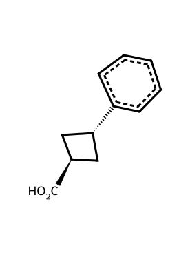 O=C(O)[C@H]1C[C@H](c2ccccc2)C1